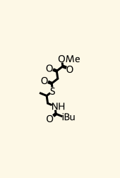 CCC(C)C(=O)NCC(C)SC(=O)CC(=O)C(=O)OC